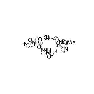 CCn1c(-c2cccnc2[C@H](C)OC)c2c3cc(ccc31)-c1csc(n1)C[C@H](NC(=O)C(C(C)C)N1CCC3(CCN(C)C3)C1=O)C(=O)N1CCC[C@H](N1)C(=O)OCC(C)(C)C2